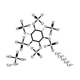 O=P(O)(O)O.O=P([O-])([O-])O[C@H]1[C@H](OP(=O)([O-])[O-])[C@@H](OP(=O)([O-])[O-])[C@H](OP(=O)([O-])[O-])[C@@H](OP(=O)([O-])[O-])[C@H]1OP(=O)([O-])[O-].[Ca+2].[Ca+2].[Ca+2].[Ca+2].[Ca+2].[Ca+2]